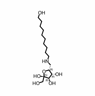 OCCCCCCCCCCNC[C@H]1O[C@@](O)(CO)[C@H](O)[C@H]1O